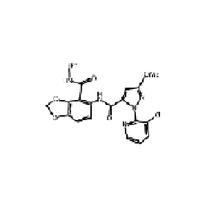 COc1cc(C(=O)Nc2ccc3c(c2C(=O)NC(C)C)OCO3)n(-c2ncccc2Cl)n1